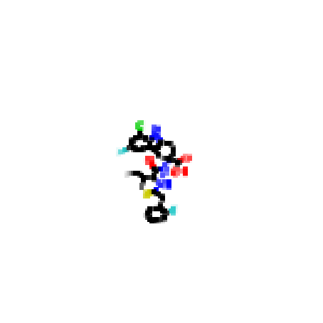 CCC(C)C(NC(=S)Cc1ccccc1F)C(=O)N[C@]1(C(=O)O)CCc2[nH]c3c(Cl)cc(F)cc3c2C1